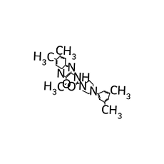 COc1nc2cc(C)c(C)cc2nc1NC(=O)N1CCN(c2cc(C)cc(C)c2)CC1